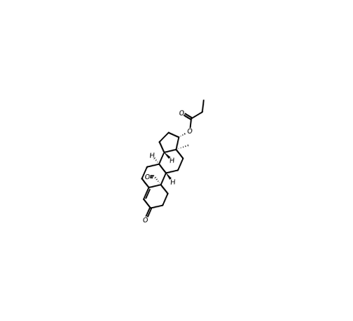 CCC(=O)O[C@H]1CC[C@H]2[C@@H]3CCC4=CC(=O)CC[C@]4(C=O)[C@H]3CC[C@]12C